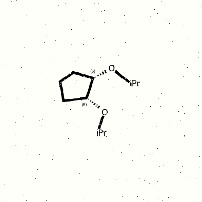 CC(C)O[C@H]1CCC[C@H]1OC(C)C